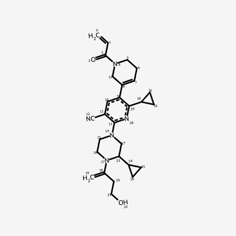 C=CC(=O)N1CCC=C(c2cc(C#N)c(N3CCN(C(=C)CCO)C(C4CC4)C3)nc2C2CC2)C1